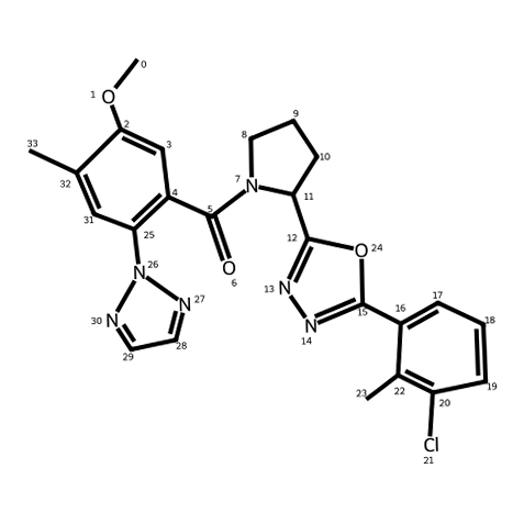 COc1cc(C(=O)N2CCCC2c2nnc(-c3cccc(Cl)c3C)o2)c(-n2nccn2)cc1C